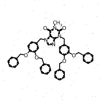 Cn1c(=O)c2c(ncn2Cc2ccc(OCc3ccccc3)c(OCc3ccccc3)c2)n(Cc2ccc(OCc3ccccc3)c(OCc3ccccc3)c2)c1=O